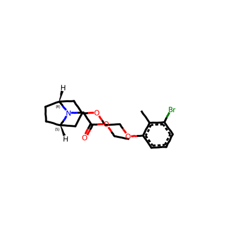 CCOC(=O)CN1[C@@H]2CC[C@H]1CC(OCCOc1cccc(Br)c1C)C2